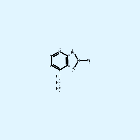 CCN([S])CC.F.F.F.c1ccncc1